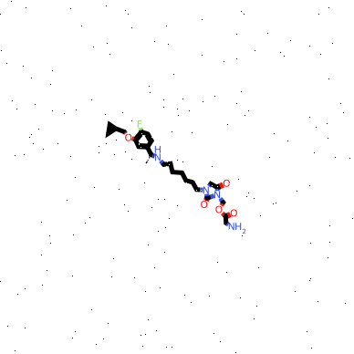 C[C@@H](NCCCCCCCN1CC(=O)N(COC(=O)CN)C1=O)c1ccc(F)c(OCC2CC2)c1